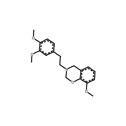 COc1ccc(CCN2COc3c(cccc3OC)C2)cc1OC